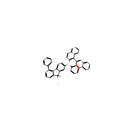 CC1(C)c2cc(N(c3ccccc3)c3ccc4ccccc4c3-c3ccc4ccccc4c3)ccc2-c2c(-c3ccccc3)cccc21